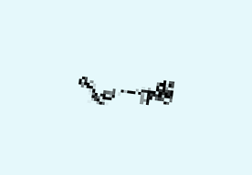 O=C(CCOc1ccccc1)N1CCOC2(CCN(CCCCCCCCCNCC(O)c3ccc(O)c4[nH]c(=O)sc34)CC2)C1